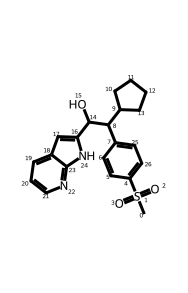 CS(=O)(=O)c1ccc(C(C2CCCC2)C(O)c2cc3cccnc3[nH]2)cc1